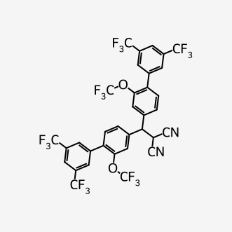 N#CC(C#N)C(c1ccc(-c2cc(C(F)(F)F)cc(C(F)(F)F)c2)c(OC(F)(F)F)c1)c1ccc(-c2cc(C(F)(F)F)cc(C(F)(F)F)c2)c(OC(F)(F)F)c1